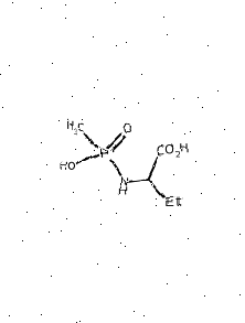 CCC(NP(C)(=O)O)C(=O)O